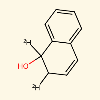 [2H]C1C=Cc2ccccc2C1([2H])O